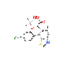 Cc1cc2ncsc2c(-c2ccc(Cl)cc2)c1[C@H](OC(C)(C)C)C(=O)O